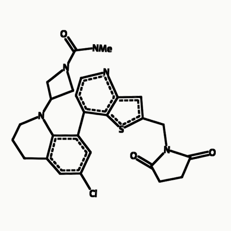 CNC(=O)N1CC(N2CCCc3cc(Cl)cc(-c4ccnc5cc(CN6C(=O)CCC6=O)sc45)c32)C1